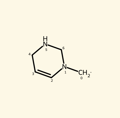 [CH2]N1C=CCNC1